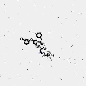 CC(C)(O)CN/C=C\C(=N)NC(=O)[C@H](CC1CCCCC1)N1CC(Oc2cccc(Cl)c2)=CC1=O